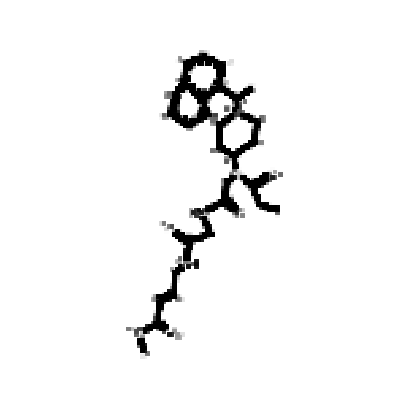 CCC(=O)N(CC(=O)NCC(=O)NC/C=C/C(=O)OC)C1CCN(C(C)c2cccc3ccccc23)CC1